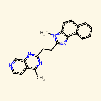 Cc1nc(CCc2nc3c4ccccc4ccc3n2C)nc2cnccc12